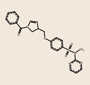 CN(c1ncccn1)S(=O)(=O)c1ccc(OCC2CN(C(=O)c3ccccc3)C=N2)cc1